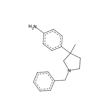 CC1(c2ccc(N)cc2)CCN(Cc2ccccc2)C1